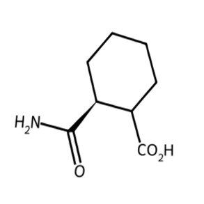 NC(=O)[C@H]1CCCCC1C(=O)O